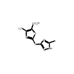 Cc1nc(Sc2nc(C(F)(F)F)c(C(=O)O)s2)n[nH]1